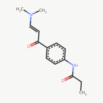 CCC(=O)Nc1ccc(C(=O)C=CN(C)C)cc1